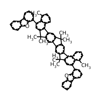 Cc1cccc2c3c(cc(-c4cccc5c4oc4ccccc45)c12)C(C)(C)c1cc2c(cc1-3)C(C)(C)c1cc3c(cc1-2)C(C)(C)c1cc(-c2cccc4c2oc2ccccc24)c2c(C)cccc2c1-3